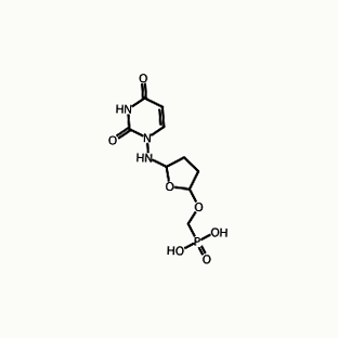 O=c1ccn(NC2CCC(OCP(=O)(O)O)O2)c(=O)[nH]1